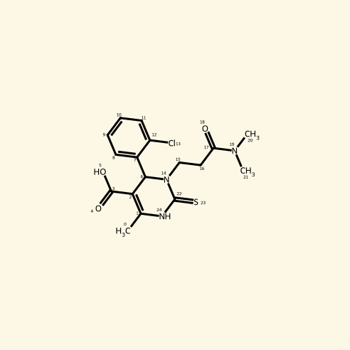 CC1=C(C(=O)O)C(c2ccccc2Cl)N(CCC(=O)N(C)C)C(=S)N1